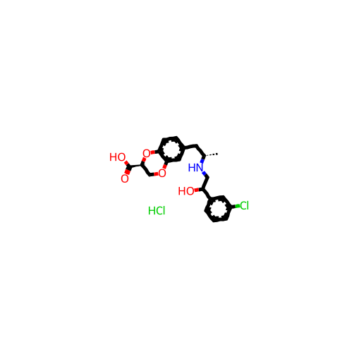 C[C@@H](Cc1ccc2c(c1)OC[C@@H](C(=O)O)O2)NCC(O)c1cccc(Cl)c1.Cl